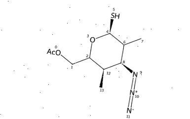 CC(=O)OCC1O[C@@H](S)C(C)[C@@H](N=[N+]=[N-])[C@H]1C